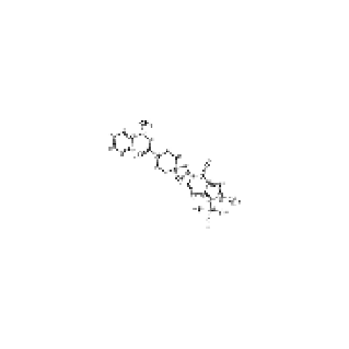 C[C@H](CC(=O)N1CCC(O)(Cn2cnc3c(C(F)(F)F)n(C)nc3c2=O)CC1)c1ccccc1